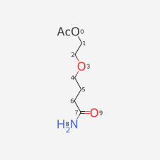 CC(=O)OCCOCCCC(N)=O